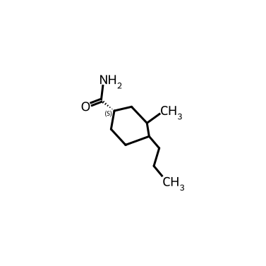 CCCC1CC[C@H](C(N)=O)CC1C